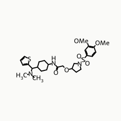 COc1ccc(S(=O)(=O)N2CCC(OCC(=O)NC3CCC(C(c4cccs4)N(C)C)CC3)C2)cc1OC